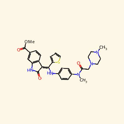 COC(=O)c1ccc2c(c1)NC(=O)/C2=C(\Nc1ccc(N(C)C(=O)CN2CCN(C)CC2)cc1)c1cccs1